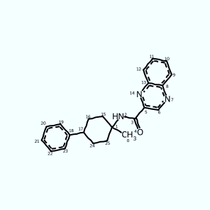 CC1(NC(=O)c2cnc3ccccc3n2)CCC(c2ccccc2)CC1